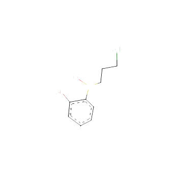 [O-][S+](CCCCl)c1ccccc1Br